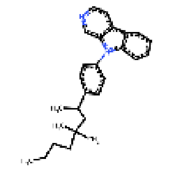 CCCCC(C)(C)CC(C)c1ccc(-n2c3ccccc3c3ccncc32)cc1